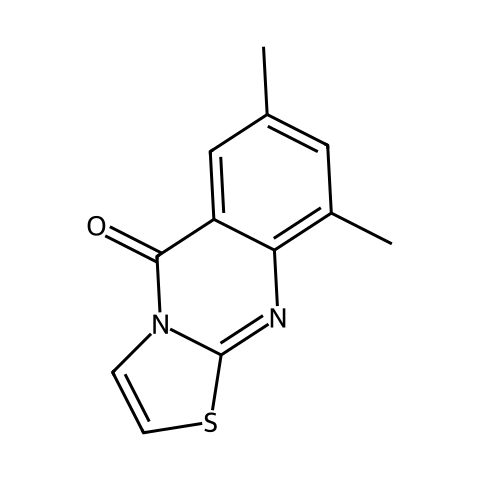 Cc1cc(C)c2nc3sccn3c(=O)c2c1